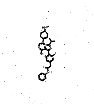 CNC1CC=C(c2cnc(N)c3c(-c4ccc(CC(=O)Nc5ccccc5)cc4F)nc(C(C)C)n23)CC1